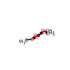 CCCCCCOc1ccc(C(=O)Oc2ccc(-c3ccc(C(=O)OCC(C)CC)cc3)cc2)cc1